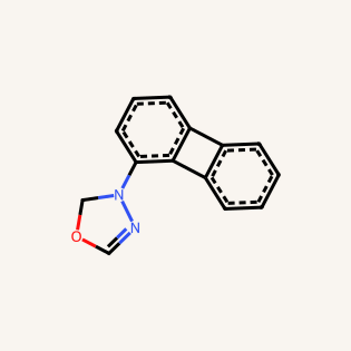 C1=NN(c2cccc3c2-c2ccccc2-3)CO1